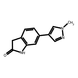 Cn1cc(-c2ccc3c(c2)NC(=O)C3)cn1